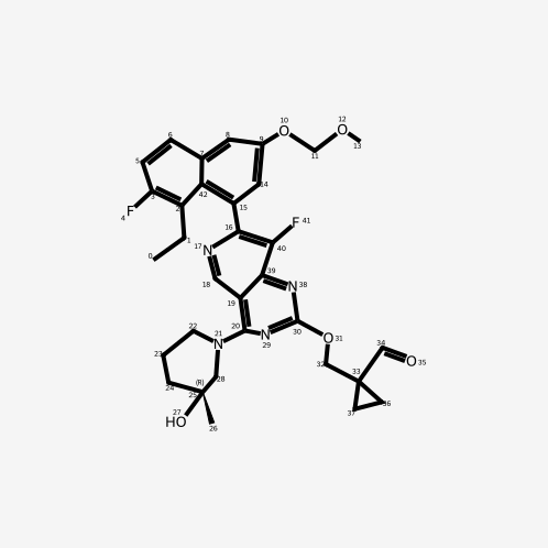 CCc1c(F)ccc2cc(OCOC)cc(-c3ncc4c(N5CCC[C@@](C)(O)C5)nc(OCC5(C=O)CC5)nc4c3F)c12